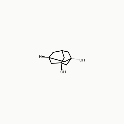 O[C@]12CC3C[C@@H](C1)C[C@@](O)(C3)C2